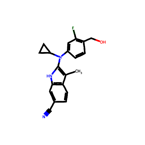 Cc1c(N(c2ccc(CO)c(F)c2)C2CC2)[nH]c2cc(C#N)ccc12